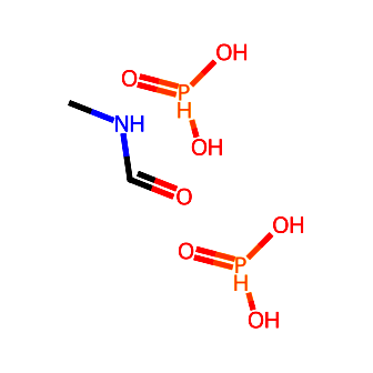 CNC=O.O=[PH](O)O.O=[PH](O)O